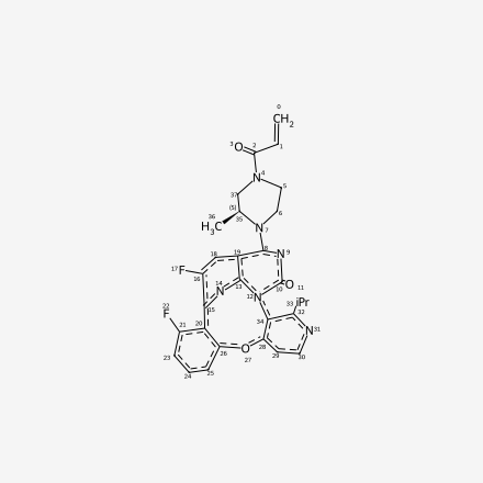 C=CC(=O)N1CCN(c2nc(=O)n3c4nc(c(F)cc24)c2c(F)cccc2oc2ccnc(C(C)C)c23)[C@@H](C)C1